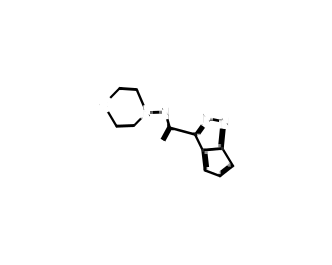 O=C(NN1CCOCC1)C1=NN=C2C=CC=C21